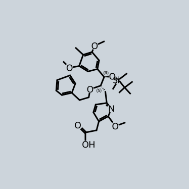 COc1cc([C@@H](O[Si](C)(C)C(C)(C)C)[C@H](Cc2ccc(CC(=O)O)c(OC)n2)OCCc2ccccc2)cc(OC)c1C